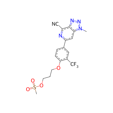 Cn1nnc2c(C#N)nc(-c3ccc(OCCCOS(C)(=O)=O)c(C(F)(F)F)c3)cc21